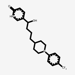 O=c1ccc(C(O)CCCC2CCN(c3ccc(C(F)(F)F)cc3)CC2)c[nH]1